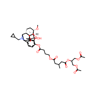 CO[C@@]12CC[C@@]3(C[C@@H]1[C@](C)(O)C(C)(C)C)C1Cc4ccc(OC(=O)CCCOC(=O)CC(C)CC(=O)OC(COC(C)=O)COC(C)=O)c5c4[C@@]3(CCN1CC1CC1)[C@]2(C)O5